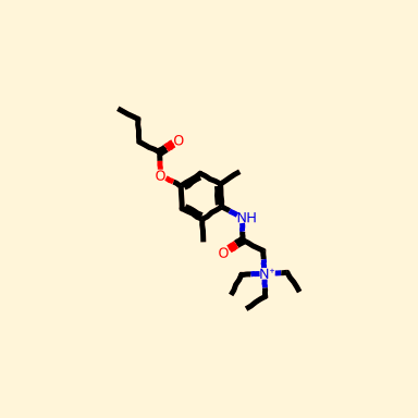 CCCC(=O)Oc1cc(C)c(NC(=O)C[N+](CC)(CC)CC)c(C)c1